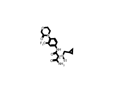 CCN(CC1CC1)[C@H](C(N)=O)C(=O)Nc1ccc(N2CCOCC2=O)c(C(F)(F)F)c1